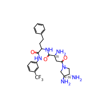 N[C@@H](CC(=O)N1C[C@H](N)[C@@H](N)C1)C(=O)NC(CCc1ccccc1)C(=O)Nc1cccc(C(F)(F)F)c1